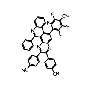 N#Cc1ccc(-c2nc3cc(-c4c(F)c(F)c(C#N)c(F)c4F)c4c5ccccc5nc(-c5ccccc5)c4c3nc2-c2ccc(C#N)cc2)cc1